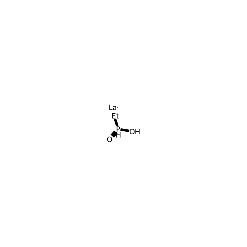 CC[PH](=O)O.[La]